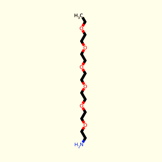 CCOCCOCCOCCOCCOCCOCCN